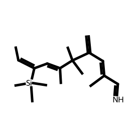 C=C(/C=C(\C)C=N)C(C)(C)/C(C)=C/C(=C\C)[Si](C)(C)C